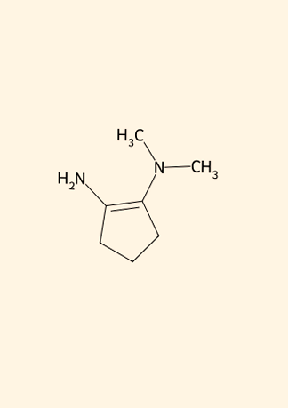 CN(C)C1=C(N)CCC1